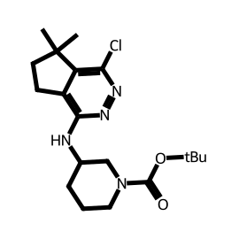 CC(C)(C)OC(=O)N1CCCC(Nc2nnc(Cl)c3c2CCC3(C)C)C1